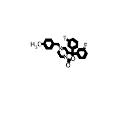 Cc1ccc(CN2CCN3C(=O)OC(c4cccc(F)c4)(c4cccc(F)c4)C3C2)cc1